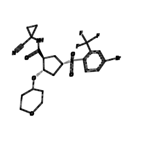 N#CC1(NC(=O)[C@H]2C[C@H](S(=O)(=O)c3ccc(Br)cc3C(F)(F)F)C[C@@H]2OC2CCOCC2)CC1